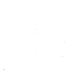 O=S(=O)(NC1Cc2cc(Br)ccc2N(Cc2c[nH]cn2)C1)c1ccccc1